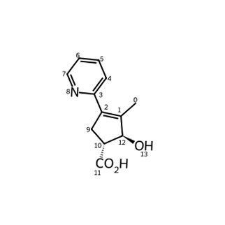 CC1=C(c2ccccn2)C[C@@H](C(=O)O)[C@@H]1O